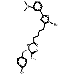 CCCCn1nc(-c2cccc(N(C)C)c2)cc1CCCCC(=O)N[C@@H](Cc1ccc(O)cc1)C(N)=O